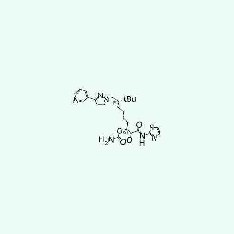 CC(C)(C)[C@H](CCCC[C@H](OC(N)=O)C(=O)C(=O)Nc1nccs1)Cn1ccc(-c2cccnc2)n1